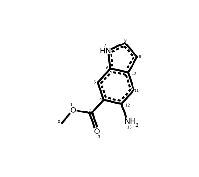 COC(=O)c1cc2[nH]ccc2cc1N